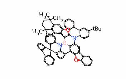 CC(C)(C)c1ccc(N2c3cc4c(oc5ccccc54)c4c3B(c3c2oc2cc5c(cc32)C(C)(C)CCC5(C)C)N2c3ccccc3C3(c5ccccc5-c5ccccc53)c3cccc-4c32)c(-c2ccccc2)c1